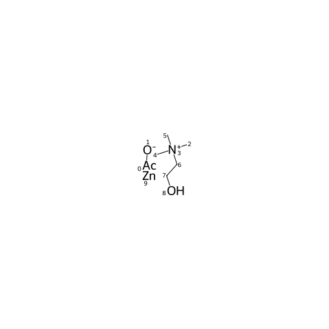 CC(=O)[O-].C[N+](C)(C)CCO.[Zn]